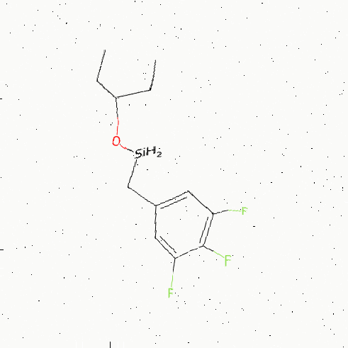 CCC(CC)O[SiH2]Cc1cc(F)c(F)c(F)c1